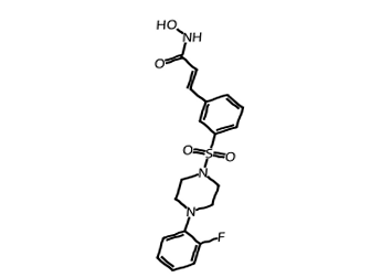 O=C(C=Cc1cccc(S(=O)(=O)N2CCN(c3ccccc3F)CC2)c1)NO